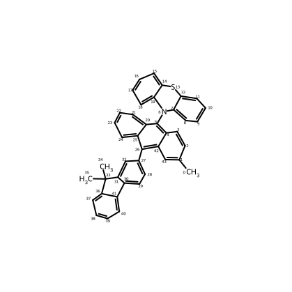 Cc1ccc2c(N3c4ccccc4Sc4ccccc43)c3ccccc3c(-c3ccc4c(c3)C(C)(C)c3ccccc3-4)c2c1